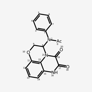 CC(=O)N(c1ccccc1)C1COc2cccc3[nH]c(=O)c(=O)n1c23